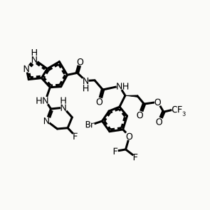 O=C(CNC(=O)c1cc(NC2=NCC(F)CN2)c2cn[nH]c2c1)N[C@@H](CC(=O)OC(=O)C(F)(F)F)c1cc(Br)cc(OC(F)F)c1